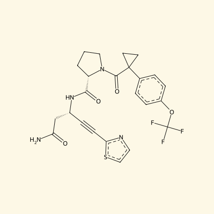 NC(=O)C[C@@H](C#Cc1nccs1)NC(=O)[C@@H]1CCCN1C(=O)C1(c2ccc(OC(F)(F)F)cc2)CC1